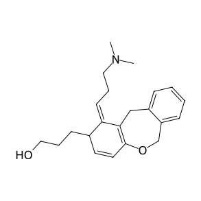 CN(C)CC/C=C1\C2=C(C=CC1CCCO)OCc1ccccc1C2